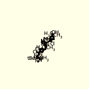 CC(C)(O)c1ccc2c(Cl)c(-c3nn(C(C)(C)Cc4cc(Cl)c5c(Cl)c(-c6nn(C(C)(C)C)c7ncnc(N)c67)[nH]c5c4)c4ncnc(N)c34)[nH]c2c1